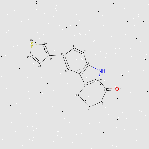 O=C1CCCc2c1[nH]c1ccc(-c3ccsc3)cc21